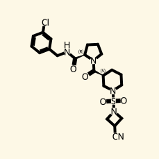 N#CC1CN(S(=O)(=O)N2CCC[C@H](C(=O)N3CCC[C@@H]3C(=O)NCc3cccc(Cl)c3)C2)C1